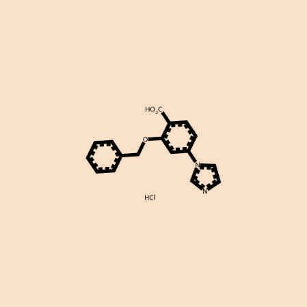 Cl.O=C(O)c1ccc(-n2ccnc2)cc1OCc1ccccc1